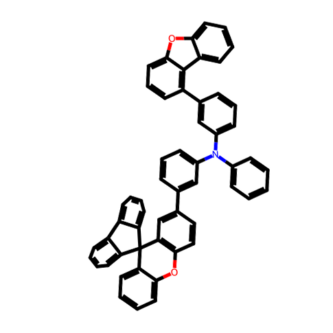 c1ccc(N(c2cccc(-c3ccc4c(c3)C3(c5ccccc5O4)c4ccccc4-c4ccccc43)c2)c2cccc(-c3cccc4oc5ccccc5c34)c2)cc1